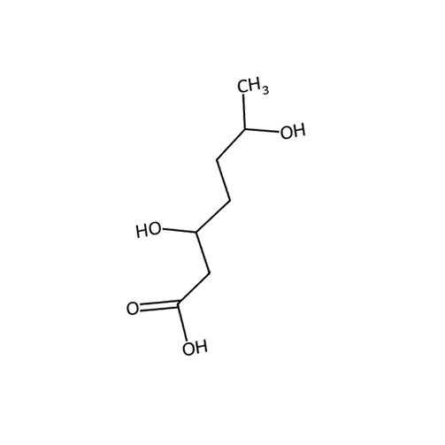 CC(O)CCC(O)CC(=O)O